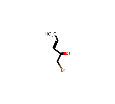 O=C(O)C=CC(=O)CBr